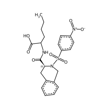 CCCCC(NC(=O)[C@@H]1Cc2ccccc2CN1S(=O)(=O)c1ccc([N+](=O)[O-])cc1)C(=O)O